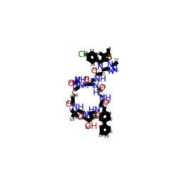 Cc1sc2c(c1C)C(c1ccc(Cl)cc1)=N[C@@H](CC(=O)NC[C@H]1NC(=O)CNC(=O)[C@@H](Cc3ccc(-c4ccccc4)cc3)NC(=O)[C@@H]3C[C@@H](O)CN3C(=O)[C@H](C(C)(C)C)NC(=O)CSC[C@H](C(N)=O)NC1=O)c1nnc(C)n1-2